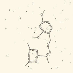 COc1ccc(CON=C(C)c2cc(C)cc(C)n2)c(OC)c1